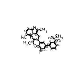 Cc1nc2ccc(C#N)cn2c1CN1C(=O)[C@@H](C)Oc2c(F)cc(-c3cccc(S(C)(=N)=O)c3)cc21